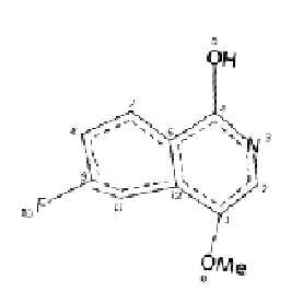 COc1cnc(O)c2ccc(F)cc12